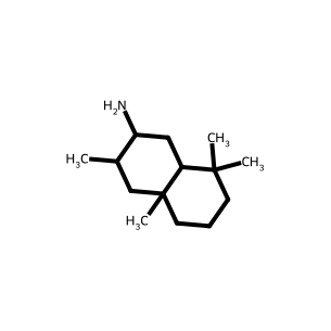 CC1CC2(C)CCCC(C)(C)C2CC1N